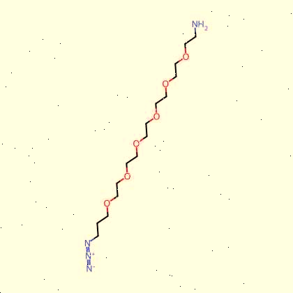 [N-]=[N+]=NCCCOCCOCCOCCOCCOCCOCCN